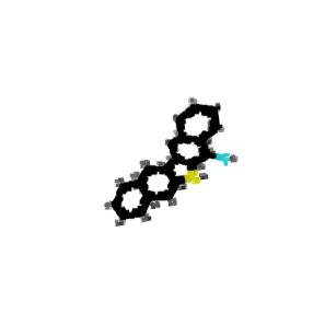 Fc1c2ccccc2cc2c1sc1cc3ccccc3cc12